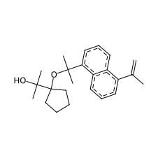 C=C(C)c1cccc2c(C(C)(C)OC3(C(C)(C)O)CCCC3)cccc12